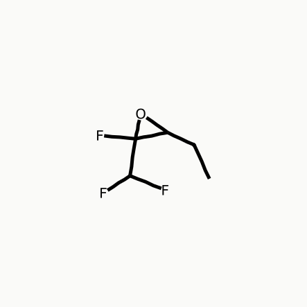 CCC1OC1(F)C(F)F